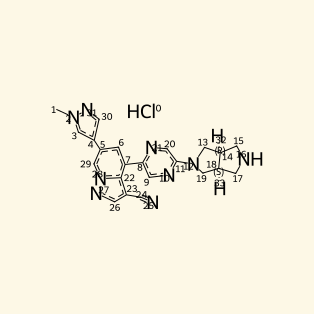 Cl.Cn1cc(-c2cc(-c3cnc(N4C[C@H]5CNC[C@H]5C4)cn3)c3c(C#N)cnn3c2)cn1